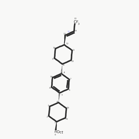 CCCCCCCC[C@H]1CC[C@H](c2ccc([C@H]3CC[C@H](/C=C/C(F)(F)F)CC3)cc2)CC1